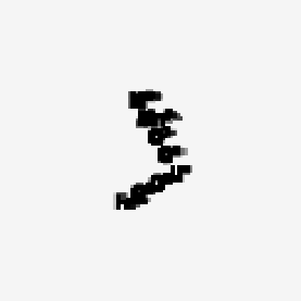 [Fe+3].[Li+].[Mn+2].[Ni+2].[O-2].[O-2].[O-2].[O-2]